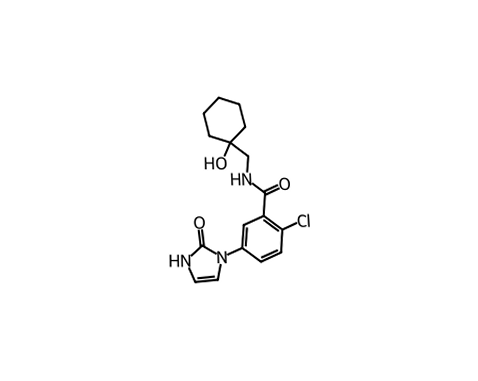 O=C(NCC1(O)CCCCC1)c1cc(-n2cc[nH]c2=O)ccc1Cl